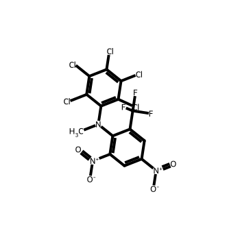 CN(c1c([N+](=O)[O-])cc([N+](=O)[O-])cc1C(F)(F)F)c1c(Cl)c(Cl)c(Cl)c(Cl)c1Cl